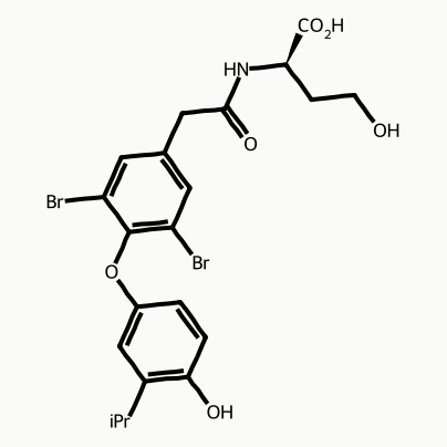 CC(C)c1cc(Oc2c(Br)cc(CC(=O)N[C@H](CCO)C(=O)O)cc2Br)ccc1O